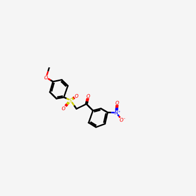 COc1ccc(S(=O)(=O)CC(=O)c2cccc([N+](=O)[O-])c2)cc1